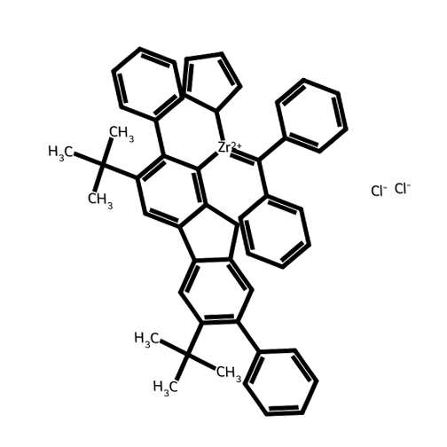 CC(C)(C)c1cc2c(cc1-c1ccccc1)Cc1c-2cc(C(C)(C)C)c(-c2ccccc2)[c]1[Zr+2](=[C](c1ccccc1)c1ccccc1)[CH]1C=CC=C1.[Cl-].[Cl-]